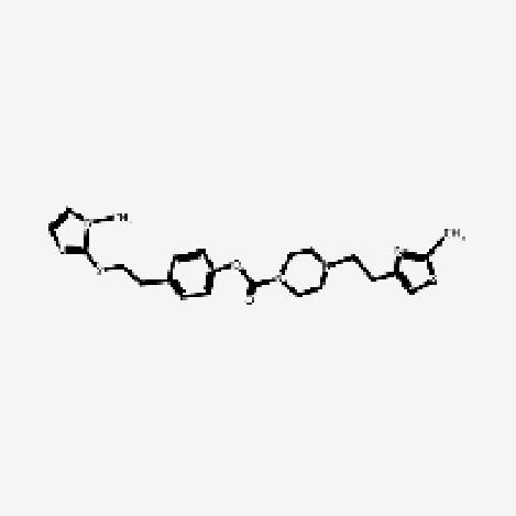 Cc1nc(CCN2CCN(C(=O)Oc3ccc(CCSc4nccn4C)cc3)CC2)cs1